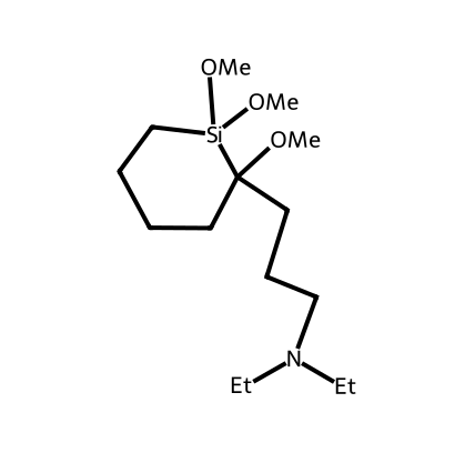 CCN(CC)CCCC1(OC)CCCC[Si]1(OC)OC